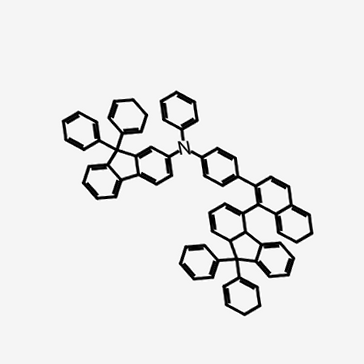 C1=CC2C(C(c3c(-c4ccc(N(c5ccccc5)c5ccc6c(c5)C(C5=CCCC=C5)(c5ccccc5)c5ccccc5-6)cc4)ccc4c3=CCCC=4)=C1)c1ccccc1C2(C1=CCCC=C1)c1ccccc1